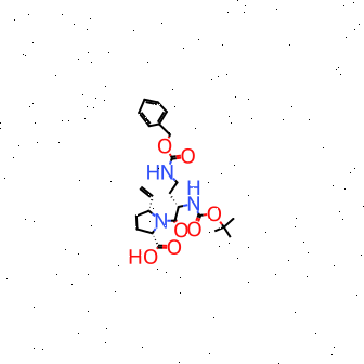 C=C[C@H]1CC[C@@H](C(=O)O)N1C(=O)[C@H](CCNC(=O)OCc1ccccc1)NC(=O)OC(C)(C)C